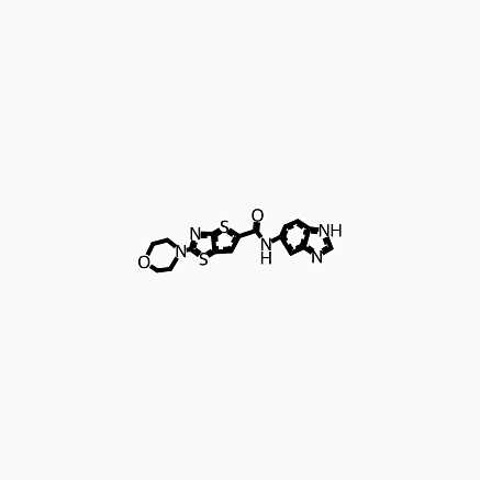 O=C(Nc1ccc2[nH]cnc2c1)c1cc2sc(N3CCOCC3)nc2s1